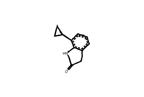 O=C1Cc2cccc(C3CC3)c2N1